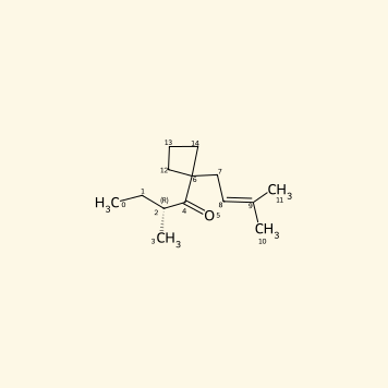 CC[C@@H](C)C(=O)C1(CC=C(C)C)CCC1